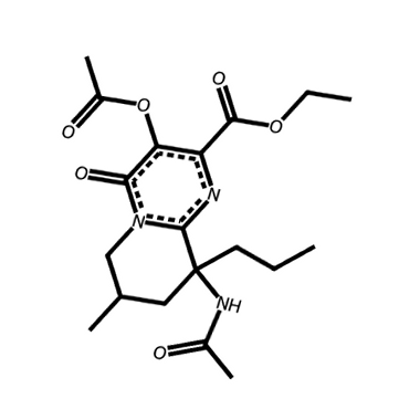 CCCC1(NC(C)=O)CC(C)Cn2c1nc(C(=O)OCC)c(OC(C)=O)c2=O